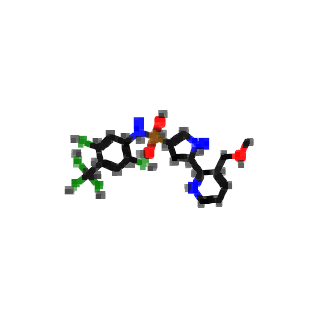 COCc1cccnc1-c1cc(S(=O)(=O)Nc2cc(F)c(C(F)(F)F)cc2F)c[nH]1